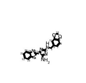 Nc1nc(NCc2ccc3c(c2)OCO3)nn1-c1nc2ccccc2s1